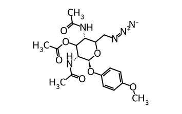 COc1ccc(O[C@@H]2OC(CN=[N+]=[N-])[C@@H](NC(C)=O)C(OC(C)=O)[C@H]2NC(C)=O)cc1